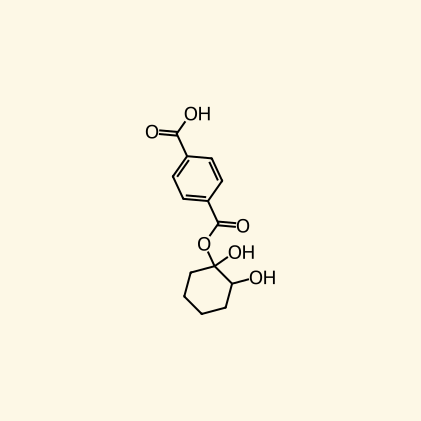 O=C(O)c1ccc(C(=O)OC2(O)CCCCC2O)cc1